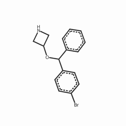 Brc1ccc(C(OC2CNC2)c2ccccc2)cc1